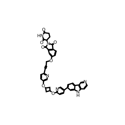 O=C1CCC(N2C(=O)c3ccc(OCC#Cc4ccc(OC5CC(Oc6ccc(-c7ccc8c(c7)[nH]c7ccncc78)cn6)C5)cn4)cc3C2=O)C(=O)N1